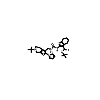 CC(C)(C)OC(=O)c1c(NC(=O)NCc2c(-n3cccc3)sc3c2CCN(C(C)(C)C)C3)sc2c1CCCC2